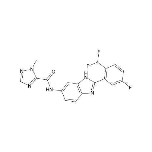 Cn1ncnc1C(=O)Nc1ccc2nc(-c3cc(F)ccc3C(F)F)[nH]c2c1